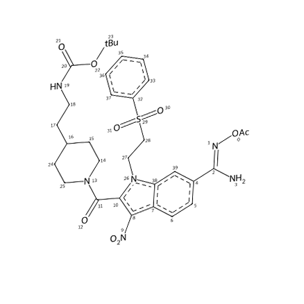 CC(=O)ON=C(N)c1ccc2c([N+](=O)[O-])c(C(=O)N3CCC(CCNC(=O)OC(C)(C)C)CC3)n(CCS(=O)(=O)c3ccccc3)c2c1